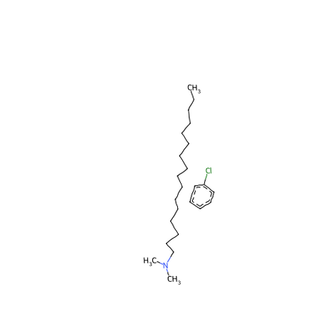 CCCCCCCCCCCCCCCCN(C)C.Clc1ccccc1